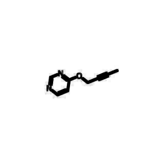 CC#CCOc1ccncn1